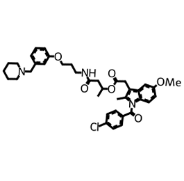 COc1ccc2c(c1)c(CC(=O)OC(C)CC(=O)NCCCOc1cccc(CN3CCCCC3)c1)c(C)n2C(=O)c1ccc(Cl)cc1